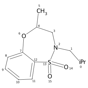 CC(C)CN1CC(C)Oc2ccccc2S1(=O)=O